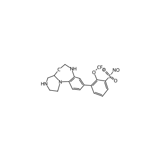 O=NS(=O)(=O)c1cccc(-c2ccc3c(c2)NCCC2CNCCN32)c1OC(F)(F)F